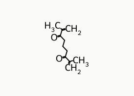 C=C(C)C(=O)CCCC(=O)C(=C)C